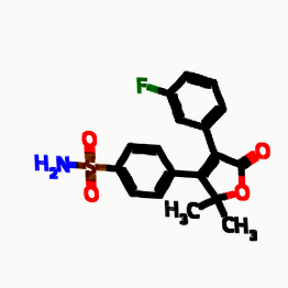 CC1(C)OC(=O)C(c2cccc(F)c2)=C1c1ccc(S(N)(=O)=O)cc1